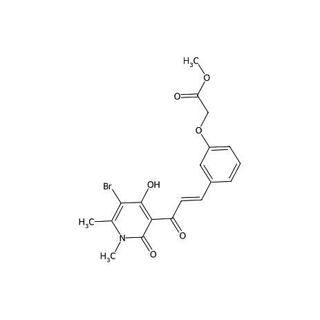 COC(=O)COc1cccc(/C=C/C(=O)c2c(O)c(Br)c(C)n(C)c2=O)c1